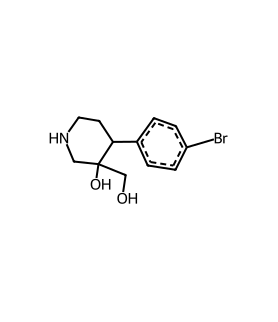 OCC1(O)CNCCC1c1ccc(Br)cc1